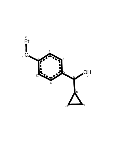 CCOc1ccc(C(O)C2CC2)cc1